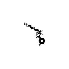 CCOCCOCCS(=O)(=O)NC(=O)c1cccc(F)c1